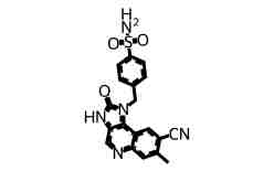 Cc1cc2ncc3[nH]c(=O)n(Cc4ccc(S(N)(=O)=O)cc4)c3c2cc1C#N